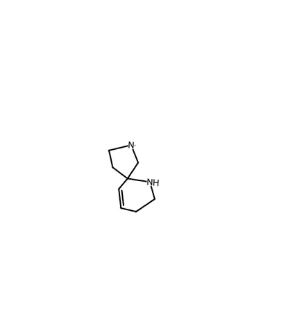 C1=CC2(CC[N]C2)NCC1